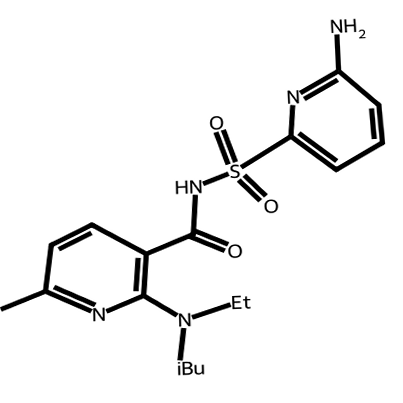 CCC(C)N(CC)c1nc(Cl)ccc1C(=O)NS(=O)(=O)c1cccc(N)n1